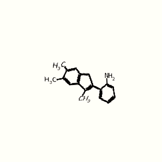 CC1=C(c2ccccc2N)Cc2cc(C)c(C)cc21